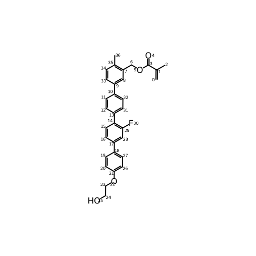 C=C(C)C(=O)OCc1cc(-c2ccc(-c3ccc(-c4ccc(OCCO)cc4)cc3F)cc2)ccc1C